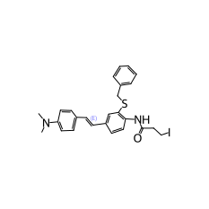 CN(C)c1ccc(/C=C/c2ccc(NC(=O)CCI)c(SCc3ccccc3)c2)cc1